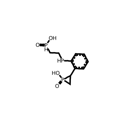 O=[PH](O)CCPc1ccccc1C1CP1(=O)O